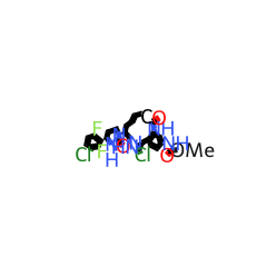 COC(=O)Nc1ccc2c(c1)NC(=O)CC/C=C/C[C@H](N1CC[C@@H](c3c(F)ccc(Cl)c3F)NC1=O)c1nc-2c(Cl)[nH]1